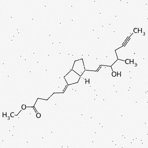 CC#CCC(C)C(O)/C=C/C1CCC2C/C(=C\CCCC(=O)OCC)C[C@H]12